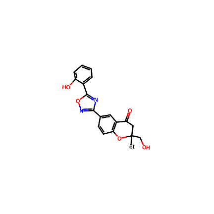 CCC1(CO)CC(=O)c2cc(-c3noc(-c4ccccc4O)n3)ccc2O1